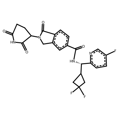 O=C1CCC(N2Cc3cc(C(=O)N[C@H](c4ccc(F)cn4)C4CC(F)(F)C4)ccc3C2=O)C(=O)N1